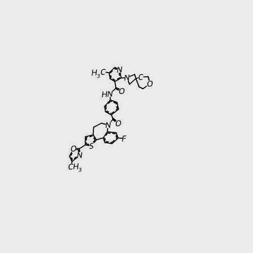 Cc1cnc(N2CC3(CCOCC3)C2)c(C(=O)Nc2ccc(C(=O)N3CCc4cc(-c5nc(C)co5)sc4-c4ccc(F)cc43)cc2)c1